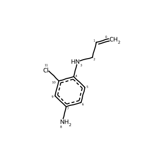 C=CCNc1ccc(N)cc1Cl